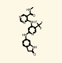 CNC(=O)c1cncnc1Nc1cc(Nc2ccc3c(c2)NC(=O)C3)ncc1C(F)(F)F